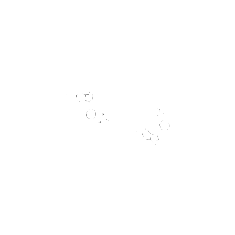 COc1ccc(-c2c(C)nc3sc(C(C)(C)OO[C@H]4C[C@@H](CNS(=O)(=O)c5cc(-c6c(C)nc7sc(C(C)(C)O)nn67)ccc5OC)C4)nn23)cc1S(=O)(=O)NCC1COC1